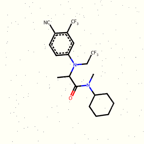 CC(C(=O)N(C)C1CCCCC1)N(CC(F)(F)F)c1ccc(C#N)c(C(F)(F)F)c1